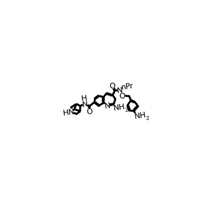 CCCN(OCc1ccc(N)cc1)C(=O)C1=Cc2ccc(C(=O)NC3C4CNCC3C4)cc2N=C(N)C1